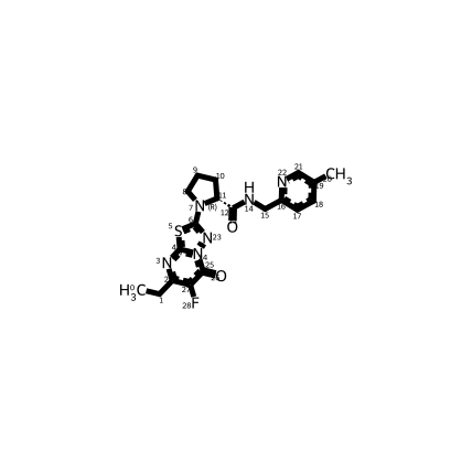 CCc1nc2sc(N3CCC[C@@H]3C(=O)NCc3ccc(C)cn3)nn2c(=O)c1F